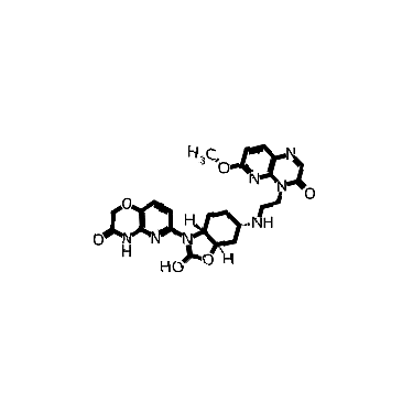 COc1ccc2ncc(=O)n(CCN[C@H]3CC[C@@H]4[C@@H](C3)OC(O)N4c3ccc4c(n3)NC(=O)CO4)c2n1